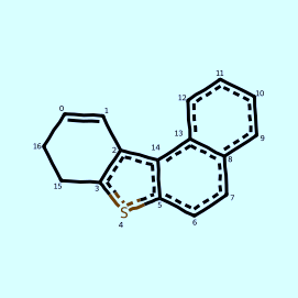 C1=Cc2c(sc3ccc4ccccc4c23)CC1